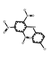 O=[N+]([O-])c1cc([N+](=O)[O-])c(Nc2ccc(Cl)cc2)c([N+](=O)[O-])c1